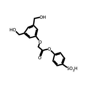 O=C(COc1cc(CO)cc(CO)c1)Oc1ccc(S(=O)(=O)O)cc1